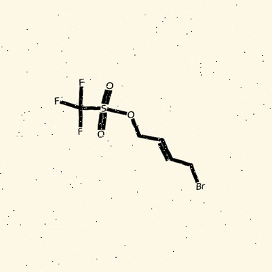 O=S(=O)(OC/C=C/CBr)C(F)(F)F